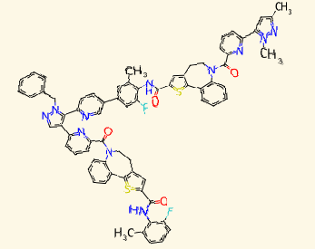 Cc1cc(-c2cccc(C(=O)N3CCc4cc(C(=O)Nc5c(C)cc(-c6ccc(-c7c(-c8cccc(C(=O)N9CCc%10cc(C(=O)Nc%11c(C)cccc%11F)sc%10-c%10ccccc%109)n8)cnn7Cc7ccccc7)nc6)cc5F)sc4-c4ccccc43)n2)n(C)n1